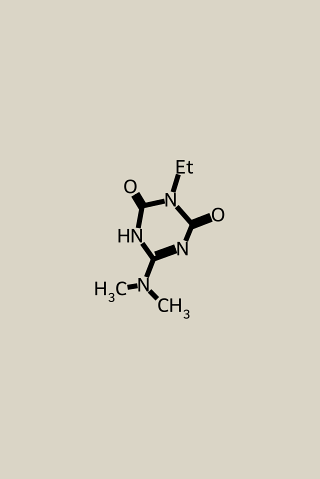 CCn1c(=O)nc(N(C)C)[nH]c1=O